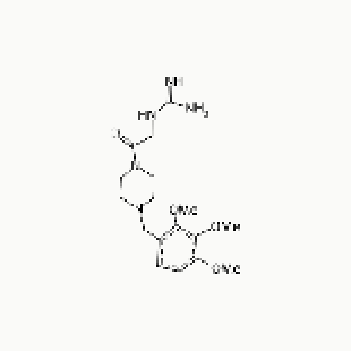 COc1ccc(CN2CCN(C(=O)CNC(=N)N)CC2)c(OC)c1OC